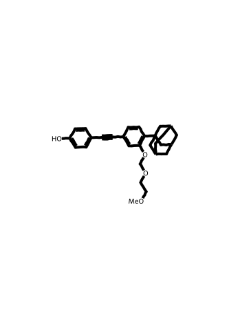 COCCOCOc1cc(C#Cc2ccc(O)cc2)ccc1C12CC3CC(CC(C3)C1)C2